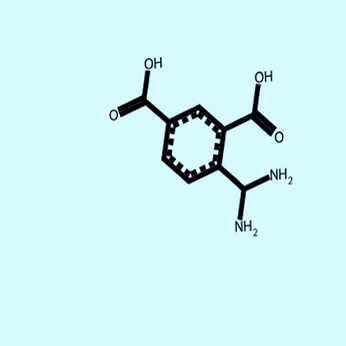 NC(N)c1ccc(C(=O)O)cc1C(=O)O